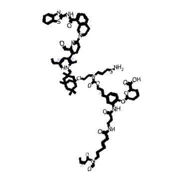 C/C=C\C(=O)N(C=O)CCCCCC(=O)NCCC(=O)Nc1cc(/C=C/COC(=O)N(CCCSN)CCOC23CC(C)(C)CC(C)(CC(C)(CN/C(C)=C(\C=C(/C)CC)c4ccc(N5CCc6cccc(C(=O)Nc7nc8ccccc8s7)c6C5)nc4C=O)C2)C3)ccc1OC1CCCC(C(=O)O)O1